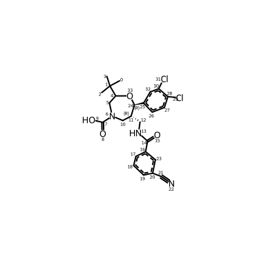 CC(C)(C)C1CN(C(=O)O)C[C@@H](CNC(=O)c2cccc(C#N)c2)[C@H](c2ccc(Cl)c(Cl)c2)O1